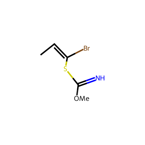 C/C=C(/Br)SC(=N)OC